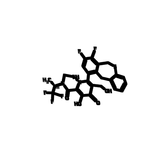 C[C@@H](N1CNn2c(c(O)c(=O)c(CO)c2-c2cc(F)c(F)c3c2Cc2ccccc2SC3)C1=O)C(F)(F)F